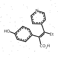 CCC(=C(C(=O)O)c1ccc(O)cc1)c1ccncc1